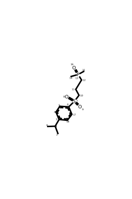 CC(C)c1ccc(S(=O)(=O)CCCP(C)(C)=O)cc1